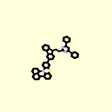 c1ccc(-c2cc(-c3ccccc3)nc(CCC3c4ccccc4-c4cc(-c5ccc6c(c5)sc5cccc7c5-n6c5cccc6cccc7c65)ccc43)n2)cc1